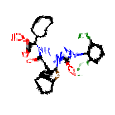 O=C(Nc1sc2c(c1C(=O)N[C@H](C(=O)O)C1CCCCC1)CCCC2)Nc1c(Cl)cccc1Cl